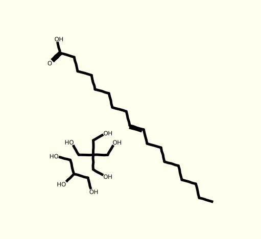 CCCCCCCCC=CCCCCCCCC(=O)O.OCC(CO)(CO)CO.OCC(O)CO